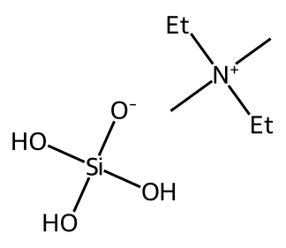 CC[N+](C)(C)CC.[O-][Si](O)(O)O